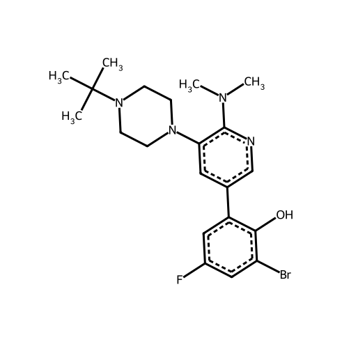 CN(C)c1ncc(-c2cc(F)cc(Br)c2O)cc1N1CCN(C(C)(C)C)CC1